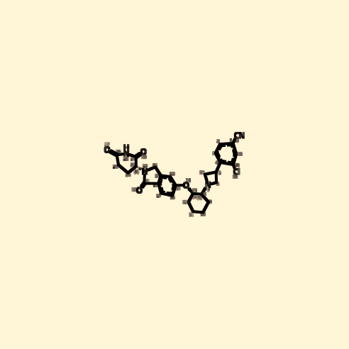 N#Cc1ccc(C2CN([C@H]3CCCC[C@H]3Oc3ccc4c(c3)CN([C@@H]3CCC(=O)NC3=O)C4=O)C2)c(Cl)c1